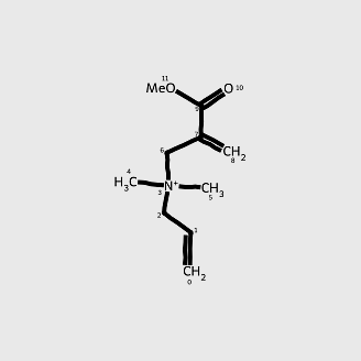 C=CC[N+](C)(C)CC(=C)C(=O)OC